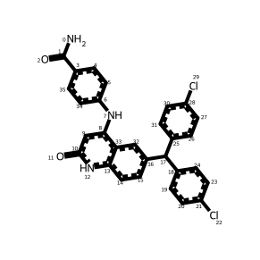 NC(=O)c1ccc(Nc2cc(=O)[nH]c3ccc(C(c4ccc(Cl)cc4)c4ccc(Cl)cc4)cc23)cc1